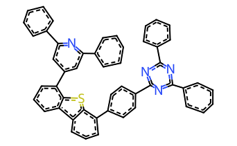 c1ccc(-c2cc(-c3cccc4c3sc3c(-c5ccc(-c6nc(-c7ccccc7)nc(-c7ccccc7)n6)cc5)cccc34)cc(-c3ccccc3)n2)cc1